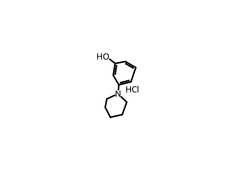 Cl.Oc1cccc(N2CCCCC2)c1